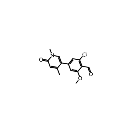 COc1cc(-c2cn(C)c(=O)cc2C)cc(Cl)c1C=O